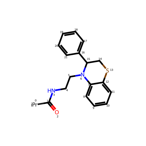 CC(C)C(=O)NCCN1c2ccccc2SCC1c1ccccc1